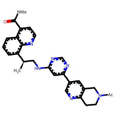 CNC(=O)c1ccnc2c([C@H](C)CNc3cc(-c4cnc5c(c4)CN(C(C)=O)CC5)ncn3)cccc12